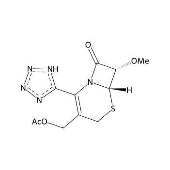 CO[C@H]1C(=O)N2C(c3nnn[nH]3)=C(COC(C)=O)CS[C@@H]12